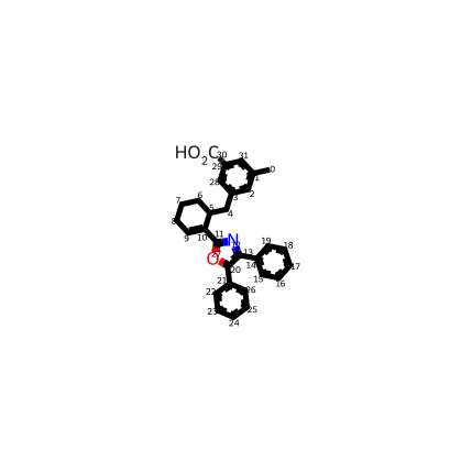 Cc1cc(CC2CCCC=C2c2nc(-c3ccccc3)c(-c3ccccc3)o2)cc(C(=O)O)c1